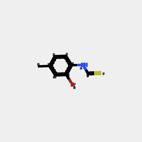 Cc1ccc(N[C]=S)c(Br)c1